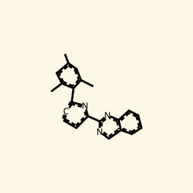 Cc1cc(C)c(-c2cccc(-c3ncc4ccccc4n3)n2)c(C)c1